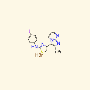 Br.CCCc1nc2ncccn2c1-c1csc(Nc2ccc(I)cc2)n1